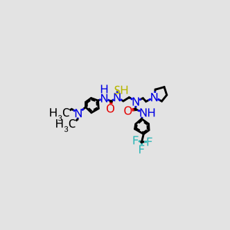 CCN(CC)c1ccc(NC(=O)N(S)CCN(CCN2CCCC2)C(=O)Nc2ccc(C(F)(F)F)cc2)cc1